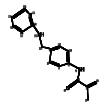 C=C(C)C(=O)Nc1ccc(CNc2ncccn2)cc1